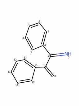 C=C(C(=N)c1ccccc1)c1ccccc1